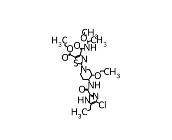 CCOC(=O)c1sc(N2CCC(NC(=O)c3nc(Cl)c(CC)[nH]3)C(OCC)C2)nc1C(=O)NC(C)OC